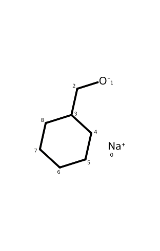 [Na+].[O-]CC1CCCCC1